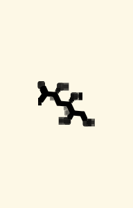 O=C(I)[C@H](O)C[C@H](O)[C@H](O)CO